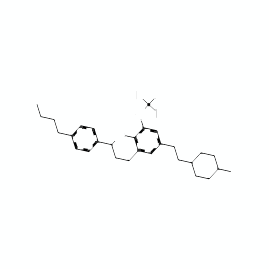 CCCCc1ccc(C2CCc3cc(CCC4CCC(C)CC4)cc(OC(F)(F)F)c3O2)cc1